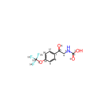 O=C(O)NCC(=O)c1ccc(OC(F)(F)F)cc1